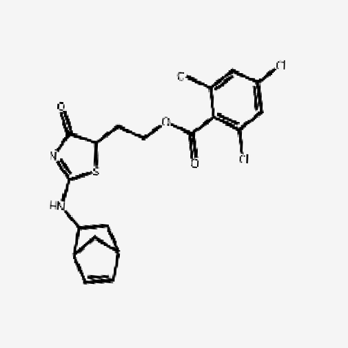 O=C(OCCC1SC(NC2CC3C=CC2C3)=NC1=O)c1c(Cl)cc(Cl)cc1Cl